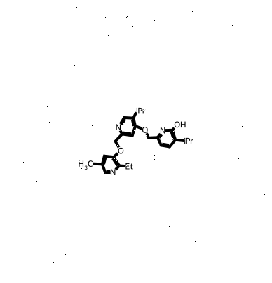 CCc1ncc(C)cc1OCc1cc(OCc2ccc(C(C)C)c(O)n2)c(C(C)C)cn1